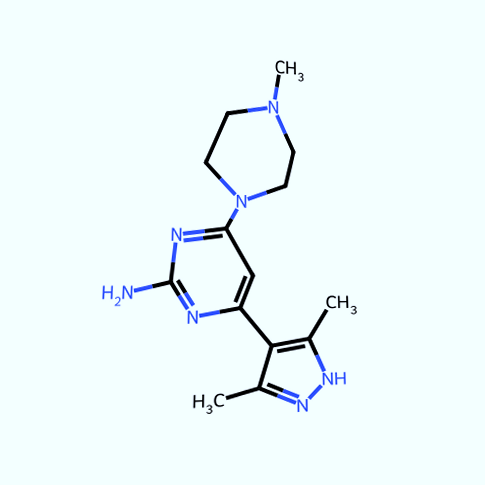 Cc1n[nH]c(C)c1-c1cc(N2CCN(C)CC2)nc(N)n1